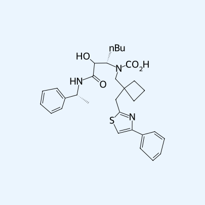 CCCC[C@@H](C(O)C(=O)N[C@H](C)c1ccccc1)N(CC1(Cc2nc(-c3ccccc3)cs2)CCC1)C(=O)O